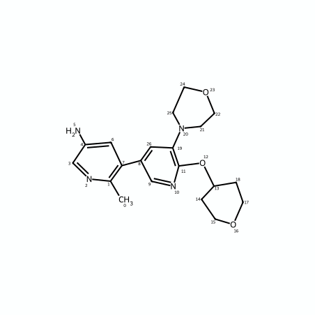 Cc1ncc(N)cc1-c1cnc(OC2CCOCC2)c(N2CCOCC2)c1